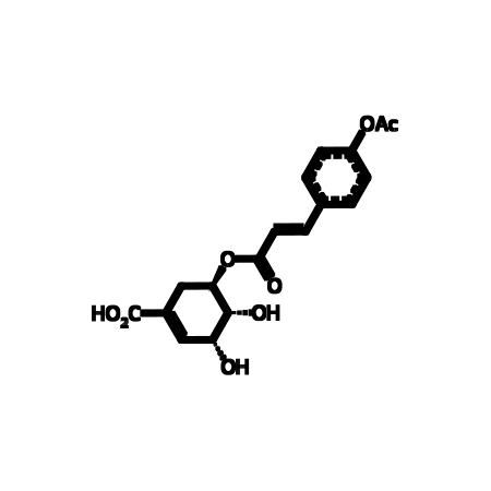 CC(=O)Oc1ccc(/C=C/C(=O)O[C@@H]2CC(C(=O)O)=C[C@@H](O)[C@H]2O)cc1